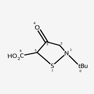 CC(C)(C)N1CC(=O)C(C(=O)O)S1